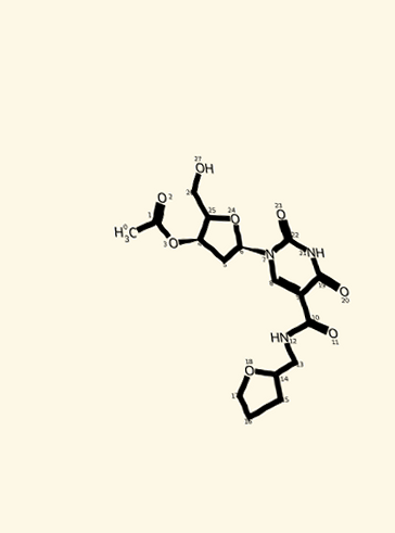 CC(=O)O[C@@H]1C[C@H](n2cc(C(=O)NCC3CCCO3)c(=O)[nH]c2=O)OC1CO